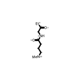 CCC(=O)CNC(=O)CCCNC